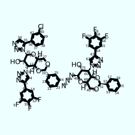 O[C@@H]1[C@@H](n2cc(-c3cc(F)c(F)c(F)c3)nn2)[C@H]2O[C@@H](c3ccccc3)OC[C@H]2O[C@H]1n1nncc1-c1cccc(Cl)c1.[N-]=[N+]=N[C@@H]1O[C@@H]2CO[C@H](c3ccccc3)O[C@@H]2[C@H](n2cc(-c3cc(F)c(F)c(F)c3)nn2)[C@H]1O